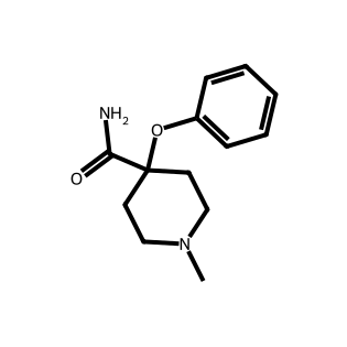 CN1CCC(Oc2ccccc2)(C(N)=O)CC1